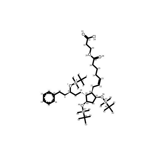 CC(C)(C)[Si](C)(C)O[C@H](CCc1ccccc1)CC[C@@H]1[C@@H](C/C=C\CCCC(=O)OCCC(=O)Cl)[C@@H](O[Si](C)(C)C(C)(C)C)C[C@H]1O[Si](C)(C)C(C)(C)C